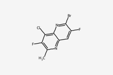 Cc1nc2cc(F)c(Br)nc2c(Cl)c1F